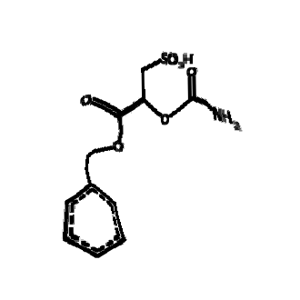 NC(=O)OC(CS(=O)(=O)O)C(=O)OCc1ccccc1